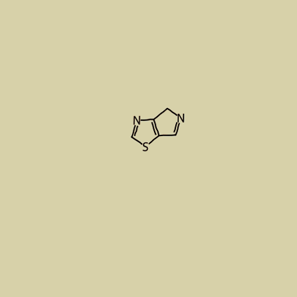 C1=NCc2ncsc21